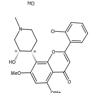 COc1cc(OC)c2c(=O)cc(-c3ccccc3Cl)oc2c1[C@H]1CCN(C)C[C@H]1O.Cl